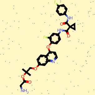 CC(C)(COc1ccc2c(Oc3ccc(NC(=O)C4(C(=O)Nc5ccc(F)cc5)CC4)cc3F)ccnc2c1)OC(=O)CN